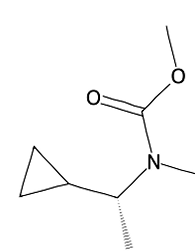 COC(=O)N(C)[C@H](C)C1CC1